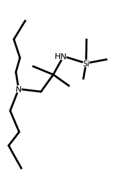 CCCCN(CCCC)CC(C)(C)N[Si](C)(C)C